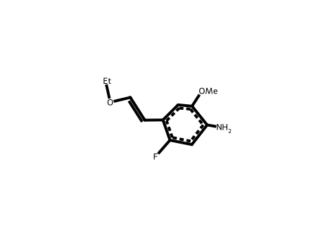 CCO/C=C/c1cc(OC)c(N)cc1F